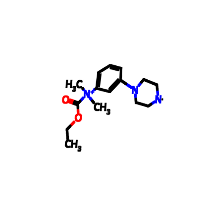 CCOC(=O)[N+](C)(C)c1cccc(N2CC[N]CC2)c1